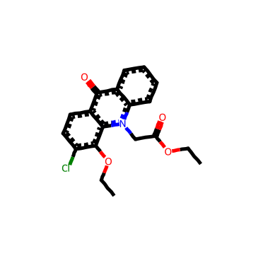 CCOC(=O)Cn1c2ccccc2c(=O)c2ccc(Cl)c(OCC)c21